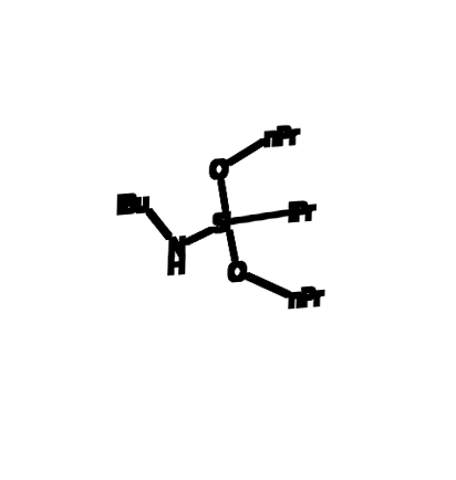 CCCO[Si](NC(C)CC)(OCCC)C(C)C